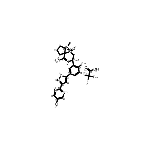 CN=S1(=O)C[C@@](C)(c2cc(-c3cc(-c4ncc(Cl)cn4)no3)ccc2F)N=C(N)C12CCCC2.O=C(O)C(F)(F)F